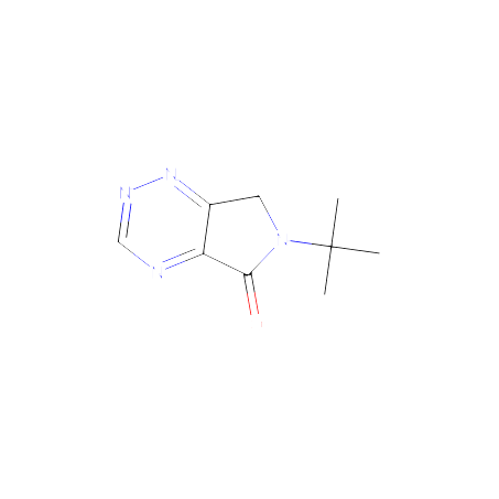 CC(C)(C)N1Cc2nncnc2C1=O